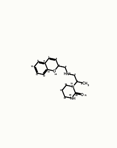 CC(CNCC1C=Cc2ccccc2O1)N1CCCNC1=O